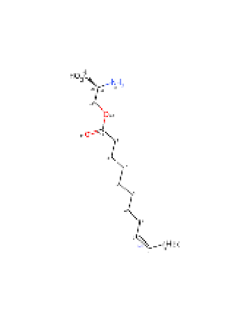 CCCCCC/C=C\CCCCCCCC(=O)OC[C@H](N)C(=O)O